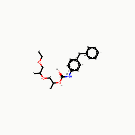 CCOCC(C)OCC(C)OC(=O)Nc1ccc(Cc2ccccc2)cc1